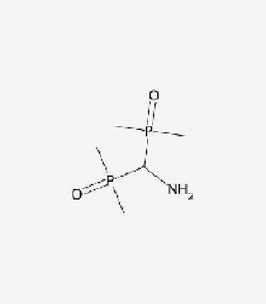 CP(C)(=O)C(N)P(C)(C)=O